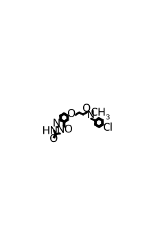 CN(Cc1ccc(Cl)cc1)C(=O)CCCOc1ccc2nc3n(c(=O)c2c1)CC(=O)N3